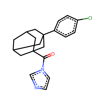 O=C(n1ccnc1)C12CC3CC(C1)CC(c1ccc(Cl)cc1)(C3)C2